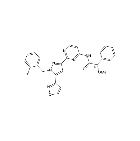 CO[C@H](C(=O)Nc1ccnc(-c2cc(-c3ccon3)n(Cc3ccccc3F)n2)n1)c1ccccc1